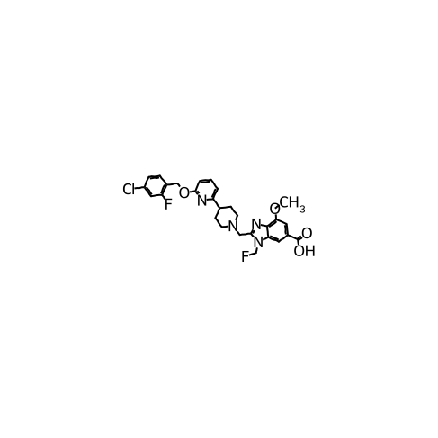 COc1cc(C(=O)O)cc2c1nc(CN1CCC(c3cccc(OCc4ccc(Cl)cc4F)n3)CC1)n2CF